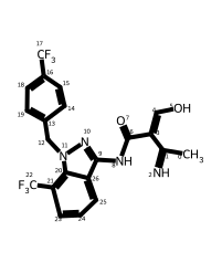 CC(=N)/C(=C\O)C(=O)Nc1nn(Cc2ccc(C(F)(F)F)cc2)c2c(C(F)(F)F)cccc12